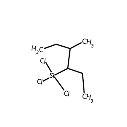 CCC(C)C(CC)[Si](Cl)(Cl)Cl